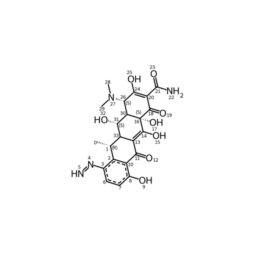 C[C@H]1c2c(N=N)ccc(O)c2C(=O)C2=C(O)[C@]3(O)C(=O)C(C(N)=O)=C(O)[C@@H](N(C)C)C3[C@@H](O)C21